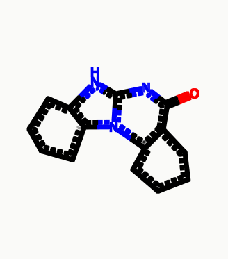 O=c1nc2[nH]c3ccccc3n2c2ccccc12